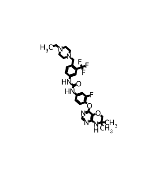 CCN1CCN(Cc2ccc(NC(=O)Nc3ccc(Oc4ncnc5c4OCC(C)(C)N5)c(F)c3)cc2C(F)(F)F)CC1